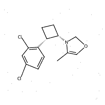 CC1=COCN1[C@H]1CC[C@H]1c1ccc(Cl)cc1Cl